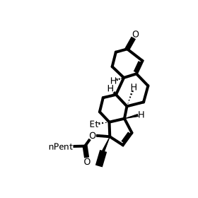 C#C[C@]1(OC(=O)CCCCC)C=C[C@H]2[C@@H]3CCC4=CC(=O)CC[C@@H]4[C@H]3CC[C@@]21CC